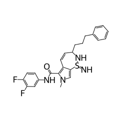 Cn1cc2c(c1C(=O)Nc1ccc(F)c(F)c1)C=CC(CCCc1ccccc1)NS2=N